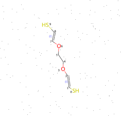 S/C=C/OCCO/C=C/S